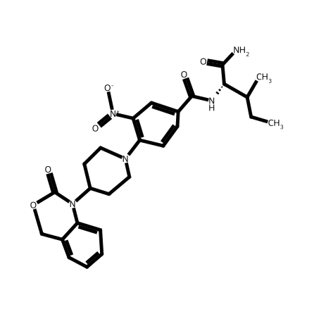 CCC(C)[C@H](NC(=O)c1ccc(N2CCC(N3C(=O)OCc4ccccc43)CC2)c([N+](=O)[O-])c1)C(N)=O